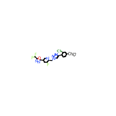 O=Cc1ccc(-c2cn(Cc3ncc(-c4nnc(C(F)F)o4)cc3F)nn2)c(Cl)c1